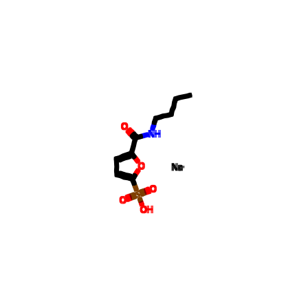 CCCCNC(=O)c1ccc(S(=O)(=O)O)o1.[Na]